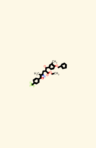 CCOC(=O)C(Cc1noc(-c2ccc(C(F)(F)F)cc2)c1C)C(=O)c1ccc(OCc2ccccc2)c(C)c1